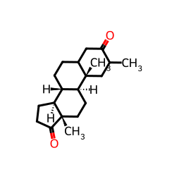 CC1C[C@@]2(C)C(CC[C@@H]3[C@@H]2CC[C@]2(C)C(=O)CC[C@@H]32)CC1=O